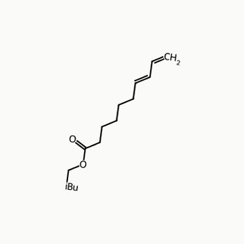 C=C/C=C/CCCCCC(=O)OCC(C)CC